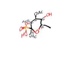 CC(=O)O[C@H]1[C@@H](O)[C@@H](C)O[C@](OC(C)=O)(P(=O)(O)O)[C@@H]1OC(C)=O